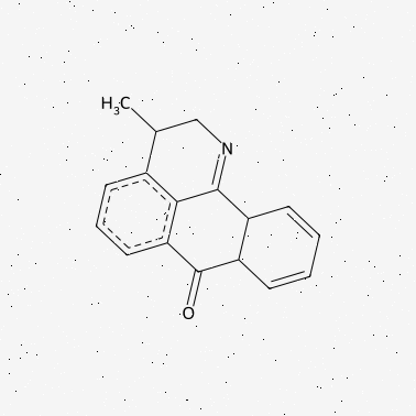 CC1CN=C2c3c(cccc31)C(=O)C1C=CC=CC21